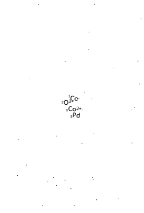 [Co+2].[Co].[O-2].[Pd]